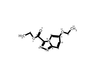 CCOC(=O)c1nnc2ccc(OCC)cn12